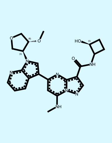 CNc1cc(-c2cn([C@H]3COC[C@@H]3OC)c3ncccc23)nc2c(C(=O)NC3CC[C@@H]3O)cnn12